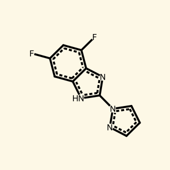 Fc1cc(F)c2nc(-n3cccn3)[nH]c2c1